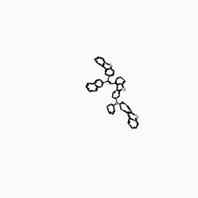 C(=C(\c1ccc2ccccc2c1)c1ccc2sc3ccccc3c2c1)/c1cccc2oc3cc(N(c4ccccc4)c4ccc5sc6ccccc6c5c4)ccc3c12